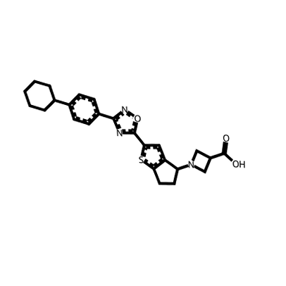 O=C(O)C1CN(C2CCc3sc(-c4nc(-c5ccc(C6CCCCC6)cc5)no4)cc32)C1